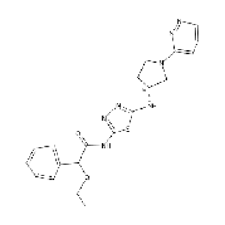 CCOC(C(=O)Nc1nnc(N[C@@H]2CCN(c3cccnn3)C2)s1)c1ccccc1